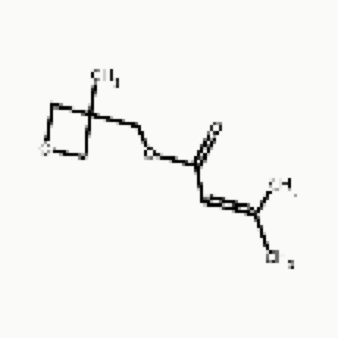 CC(C)=CC(=O)OCC1(C)COC1